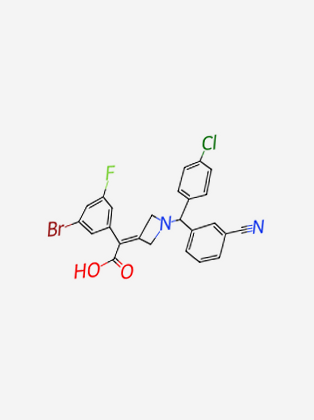 N#Cc1cccc(C(c2ccc(Cl)cc2)N2CC(=C(C(=O)O)c3cc(F)cc(Br)c3)C2)c1